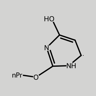 CCCOC1=NC(O)=C[CH]N1